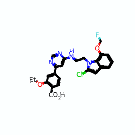 CCOc1cc(-c2cc(NCCn3c(Cl)cc4cccc(OCF)c43)ncn2)ccc1C(=O)O